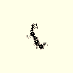 Cc1cc(OCCC(O)CO)ccc1C=CS(=O)(=O)N1CCC2(CC1)N=C(c1ccc(F)c(OC(F)(F)F)c1)NC2=O